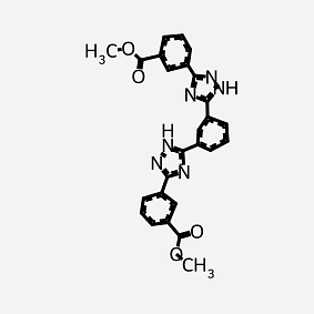 COC(=O)c1cccc(-c2n[nH]c(-c3cccc(-c4nc(-c5cccc(C(=O)OC)c5)n[nH]4)c3)n2)c1